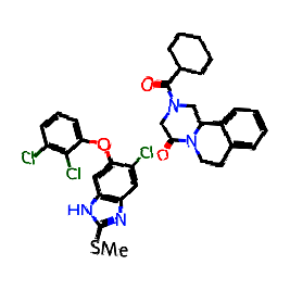 CSc1nc2cc(Cl)c(Oc3cccc(Cl)c3Cl)cc2[nH]1.O=C(C1CCCCC1)N1CC(=O)N2CCc3ccccc3C2C1